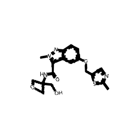 Cc1ncc(COc2ccc3nn(C)c(C(=O)NC4(CO)COC4)c3c2)s1